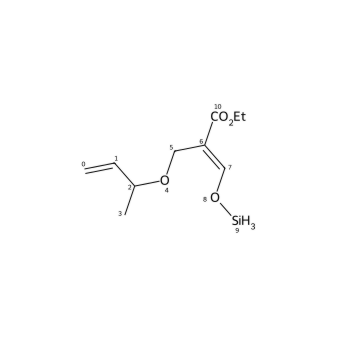 C=CC(C)OCC(=CO[SiH3])C(=O)OCC